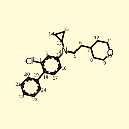 Clc1cc(N(CCC2CCOCC2)C2CC2)ccc1-c1ccccc1